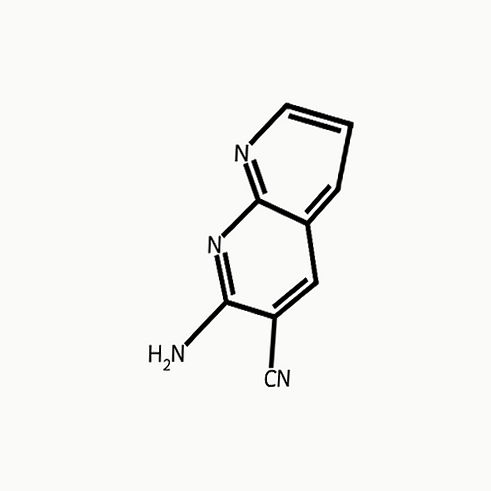 N#Cc1cc2cccnc2nc1N